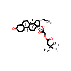 CC[C@H]1C[C@H]2[C@@H]3CCC4=CC(=O)CC[C@@H]4[C@H]3CC[C@]2(C)[C@H]1OC(=O)COC(=O)CC(C)(C)C